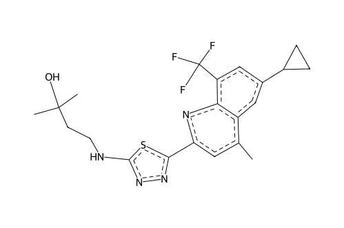 Cc1cc(-c2nnc(NCCC(C)(C)O)s2)nc2c(C(F)(F)F)cc(C3CC3)cc12